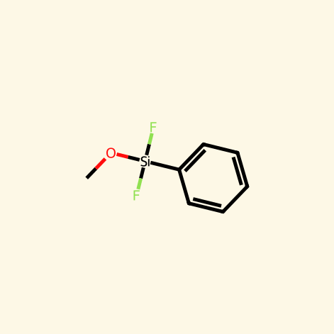 CO[Si](F)(F)c1ccccc1